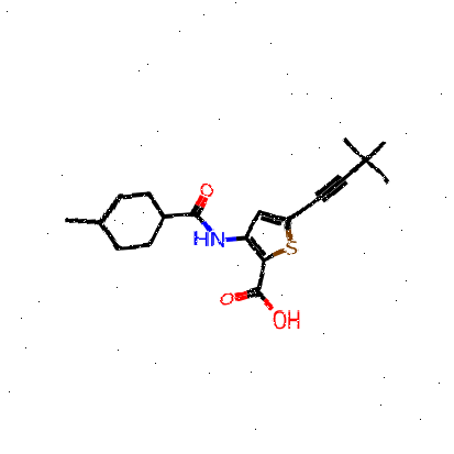 CC1CCC(C(=O)Nc2cc(C#CC(C)(C)C)sc2C(=O)O)CC1